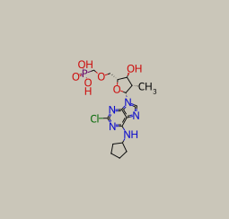 C[C@H]1[C@H](O)[C@@H](COCP(=O)(O)O)O[C@H]1n1cnc2c(NC3CCCC3)nc(Cl)nc21